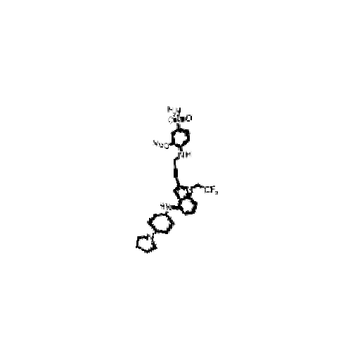 COc1cc(S(N)(=O)=O)ccc1NCC#Cc1cc2c(N[C@H]3CC[C@H](N4CCCC4)CC3)cccc2n1CC(F)(F)F